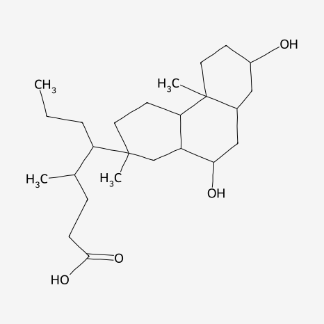 CCCC(C(C)CCC(=O)O)C1(C)CCC2C(C1)C(O)CC1CC(O)CCC12C